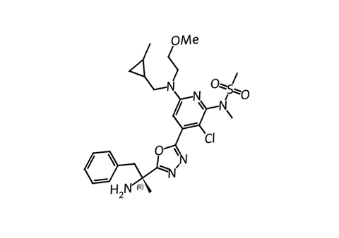 COCCN(CC1CC1C)c1cc(-c2nnc([C@](C)(N)Cc3ccccc3)o2)c(Cl)c(N(C)S(C)(=O)=O)n1